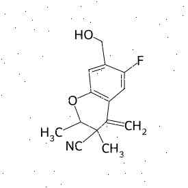 C=C1c2cc(F)c(CO)cc2OC(C)C1(C)C#N